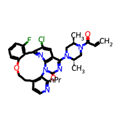 C=CC(=O)N1C[C@H](C)N(c2nc(=O)n3c4nc(c(Cl)cc24)-c2c(F)cccc2OCCc2ccnc(CCC)c2-3)C[C@H]1C